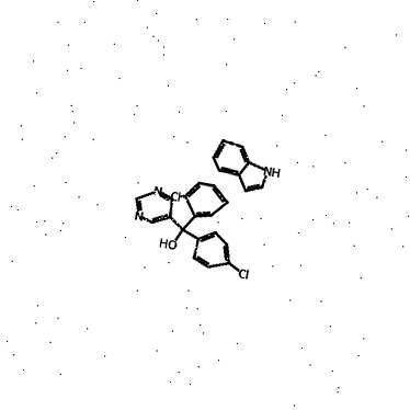 OC(c1ccc(Cl)cc1)(c1cncnc1)c1ccccc1Cl.c1ccc2[nH]ccc2c1